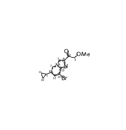 COCC(=O)c1cn2cc(C3CC3)cc(Br)c2n1